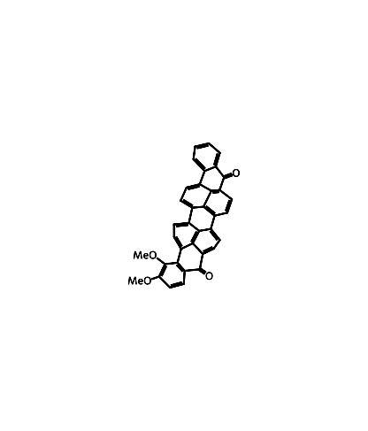 COc1ccc2c(c1OC)-c1ccc3c4ccc5c6c(ccc(c7ccc(c1c73)C2=O)c64)C(=O)c1ccccc1-5